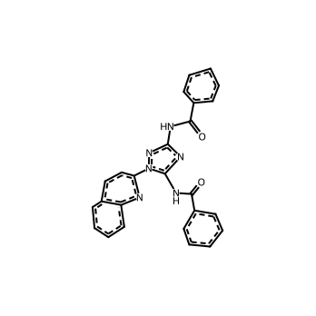 O=C(Nc1nc(NC(=O)c2ccccc2)n(-c2ccc3ccccc3n2)n1)c1ccccc1